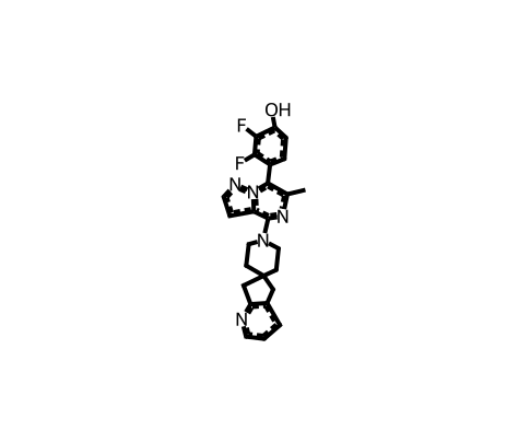 Cc1nc(N2CCC3(CC2)Cc2cccnc2C3)c2ccnn2c1-c1ccc(O)c(F)c1F